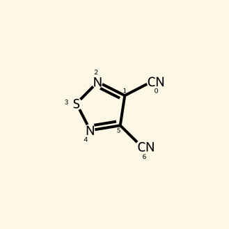 N#Cc1nsnc1C#N